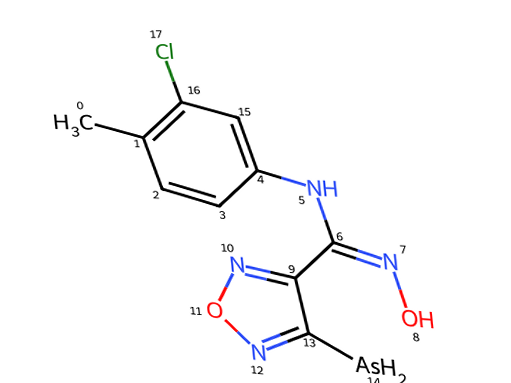 Cc1ccc(N/C(=N/O)c2nonc2[AsH2])cc1Cl